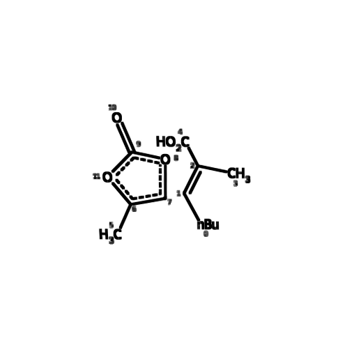 CCCCC=C(C)C(=O)O.Cc1coc(=O)o1